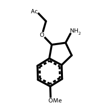 COc1ccc2c(c1)CC(N)C2OCC(C)=O